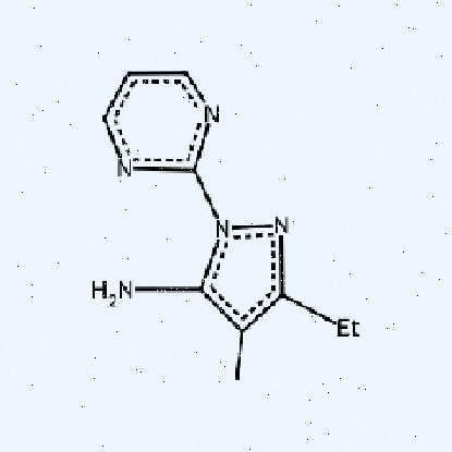 CCc1nn(-c2ncccn2)c(N)c1C